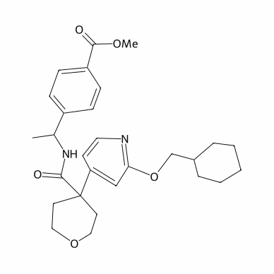 COC(=O)c1ccc(C(C)NC(=O)C2(c3ccnc(OCC4CCCCC4)c3)CCOCC2)cc1